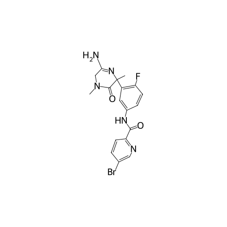 CN1CC(N)=NC(C)(c2cc(NC(=O)c3ccc(Br)cn3)ccc2F)C1=O